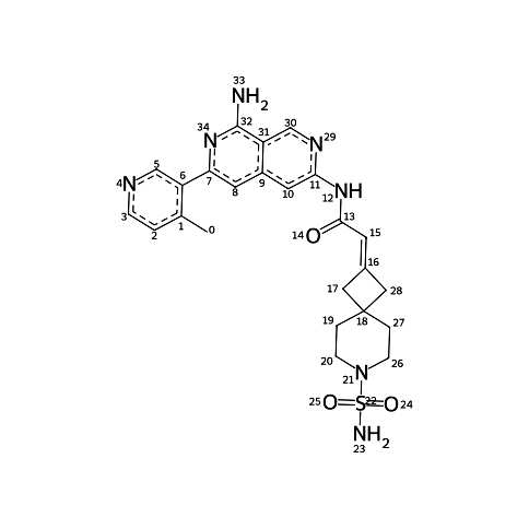 Cc1ccncc1-c1cc2cc(NC(=O)C=C3CC4(CCN(S(N)(=O)=O)CC4)C3)ncc2c(N)n1